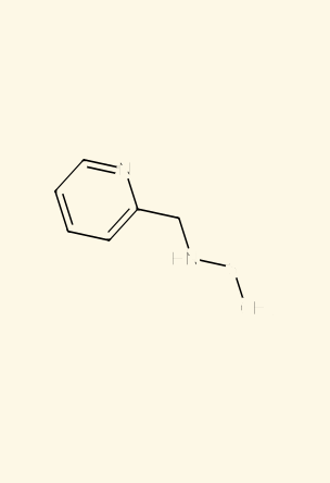 CSNCc1ccccn1